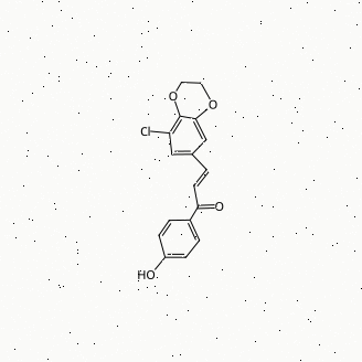 O=C(/C=C/c1cc(Cl)c2c(c1)OCCO2)c1ccc(O)cc1